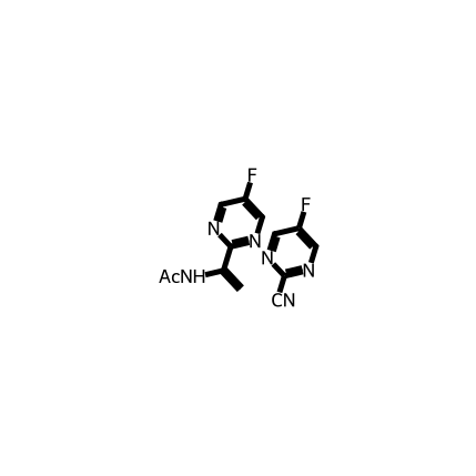 C=C(NC(C)=O)c1ncc(F)cn1.N#Cc1ncc(F)cn1